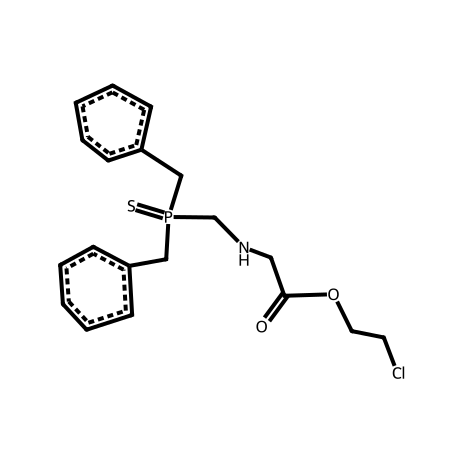 O=C(CNCP(=S)(Cc1ccccc1)Cc1ccccc1)OCCCl